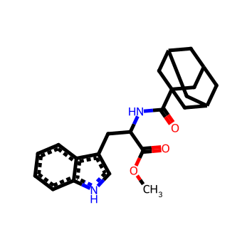 COC(=O)C(Cc1c[nH]c2ccccc12)NC(=O)C12CC3CC(CC(C3)C1)C2